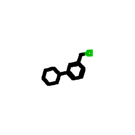 ClCc1cccc(C2CCCCC2)c1